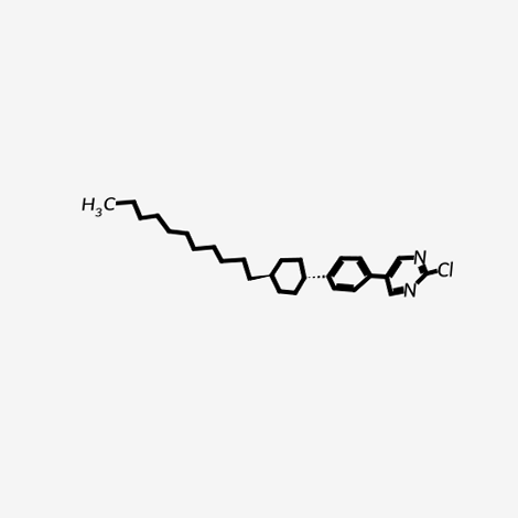 CCCCCCCCCCC[C@H]1CC[C@H](c2ccc(-c3cnc(Cl)nc3)cc2)CC1